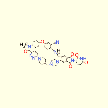 Cc1cc2c(cc1N1CCN(CC3CCN(c4ccc(C(=O)N(C)[C@H]5CC[C@H](Oc6ccc(C#N)c(C#N)c6)CC5)nn4)CC3)CC1)C(=O)N(C1CCC(=O)NC1=O)C2=O